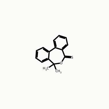 CC1(C)OC(=S)c2ccccc2-c2ccccc21